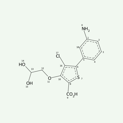 Nc1cccc(-c2sc(C(=O)O)c(OCC(O)O)c2Cl)c1